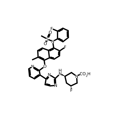 Cc1ccc2c(N(c3ccccc3F)S(C)(=O)=O)c(F)ccc2c1Oc1ncccc1-c1ccnc(N[C@@H]2C[C@@H](F)CN(C(=O)O)C2)n1